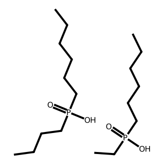 CCCCCCP(=O)(O)CC.CCCCCCP(=O)(O)CCCC